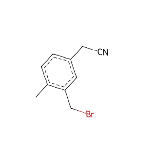 Cc1ccc(CC#N)cc1CBr